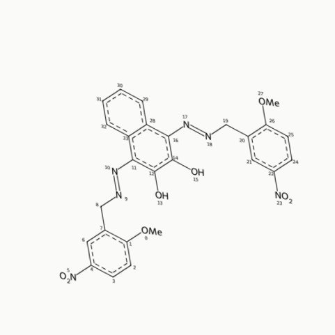 COc1ccc([N+](=O)[O-])cc1CN=Nc1c(O)c(O)c(N=NCc2cc([N+](=O)[O-])ccc2OC)c2ccccc12